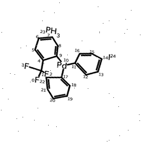 FC(F)(F)c1cccc[c]1[Pd]([c]1ccccc1)[c]1ccccc1.P.[I]